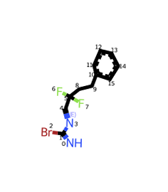 N=C(Br)/N=C/C(F)(F)CCc1ccccc1